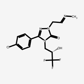 C/N=C/Cn1nc(-c2ccc(Cl)cc2)n(C[C@H](O)C(F)(F)F)c1=O